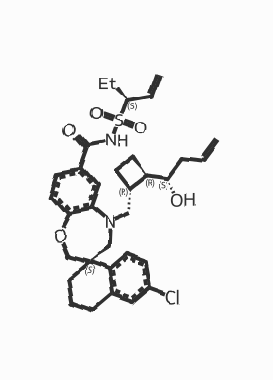 C=CC[C@H](O)[C@@H]1CC[C@H]1CN1C[C@@]2(CCCc3cc(Cl)ccc32)COc2ccc(C(=O)NS(=O)(=O)[C@H](C=C)CC)cc21